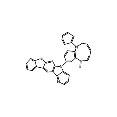 C=C1/C=C\C=C/CN(c2ccccc2)c2ccc(-n3c4cc5sc6ccccc6c5cc4c4ncccc43)cc21